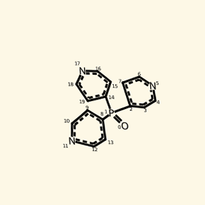 O=P(c1ccncc1)(c1ccncc1)c1ccncc1